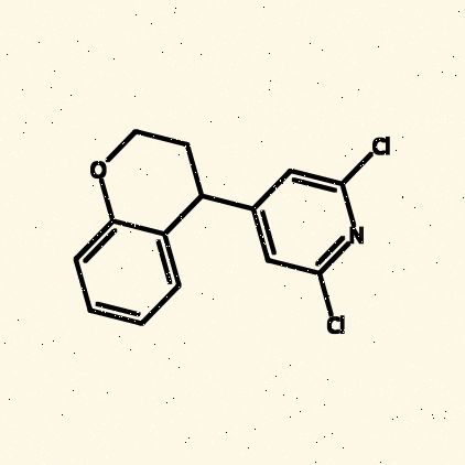 Clc1cc(C2CCOc3ccccc32)cc(Cl)n1